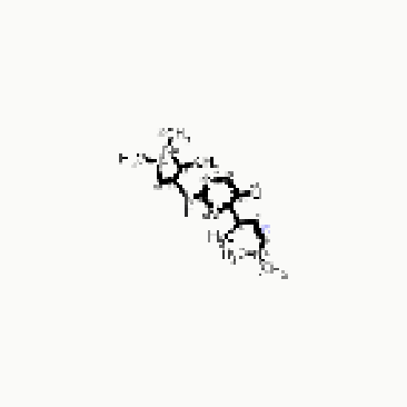 CC(/C=C\N(C)C)c1nc(NC2=CN(C)N(C)C2C)ncc1Cl